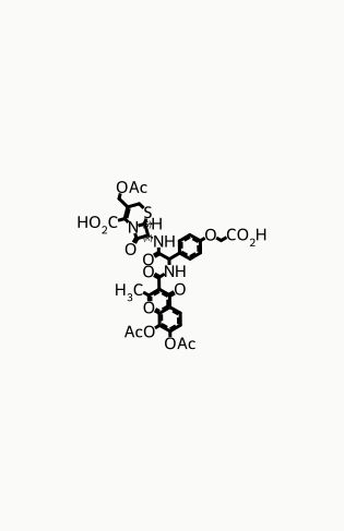 CC(=O)OCC1=C(C(=O)O)N2C(=O)[C@@H](NC(=O)C(NC(=O)c3c(C)oc4c(OC(C)=O)c(OC(C)=O)ccc4c3=O)c3ccc(OCC(=O)O)cc3)[C@@H]2SC1